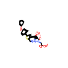 O=C(O)CNC(=O)c1ncc2sc(-c3ccc(Oc4ccccc4)cc3)cc2c1O